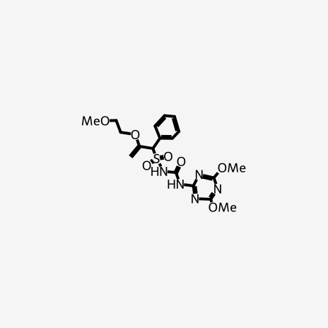 C=C(OCCOC)C(c1ccccc1)S(=O)(=O)NC(=O)Nc1nc(OC)nc(OC)n1